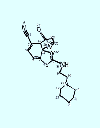 N#CC1=CC=C2SC(NCCN3CCCCC3)=NC23N=CCC(=O)C13